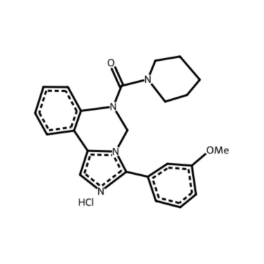 COc1cccc(-c2ncc3n2CN(C(=O)N2CCCCC2)c2ccccc2-3)c1.Cl